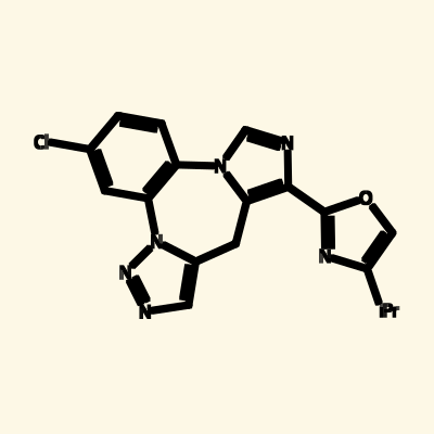 CC(C)c1coc(-c2ncn3c2Cc2cnnn2-c2cc(Cl)ccc2-3)n1